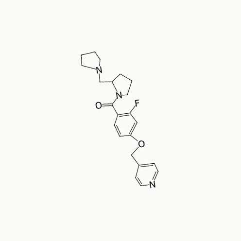 O=C(c1ccc(OCc2ccncc2)cc1F)N1CCCC1CN1CCCC1